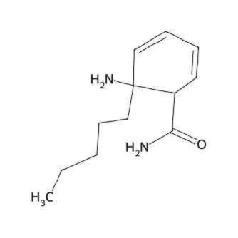 CCCCCC1(N)C=CC=CC1C(N)=O